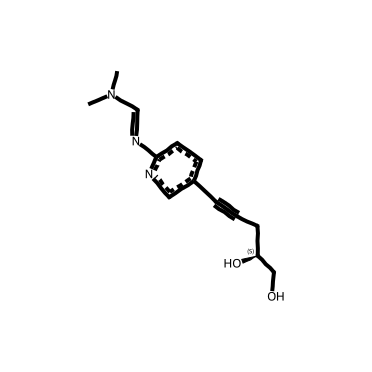 CN(C)C=Nc1ccc(C#CC[C@H](O)CO)cn1